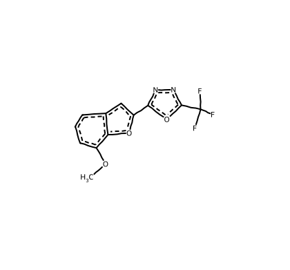 COc1cccc2cc(-c3nnc(C(F)(F)F)o3)oc12